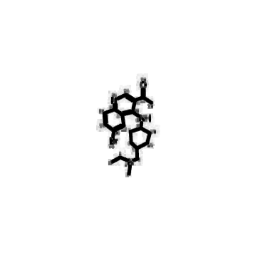 CCN(C)CC1CCC(Nc2c(C(C)=O)cnc3ccc(Br)cc23)CC1